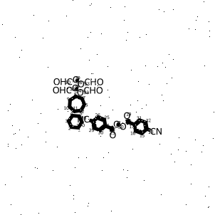 C1CCCCC1.C1CCCCCC1.N#Cc1ccc(C(=O)OOC(=O)c2ccc(C#N)cc2)cc1.O=COOC=O.O=COOC=O